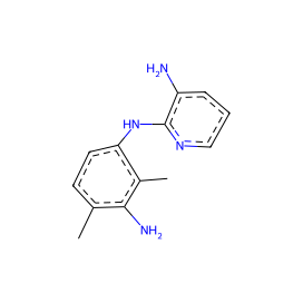 Cc1ccc(Nc2ncccc2N)c(C)c1N